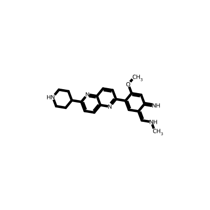 CN/C=C1/C=C(c2ccc3nc(C4CCNCC4)ccc3n2)C(OC)=CC1=N